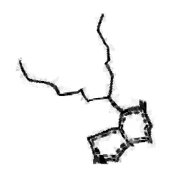 CCCCCCC(CCCCC)c1ncnn2cncc12